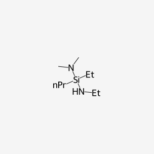 CCC[Si](CC)(NCC)N(C)C